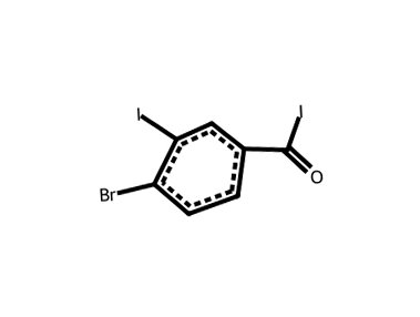 O=C(I)c1ccc(Br)c(I)c1